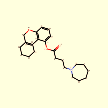 O=C(CCCN1CCCCCC1)Oc1cccc2c1C1=C(CCCC1)CO2